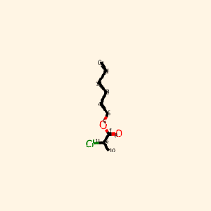 CCCCCCOC(=O)C(C)Cl